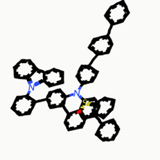 c1ccc(-c2ccc(-c3ccc(N(c4ccc(-c5ccccc5)cc4)c4ccc(-c5ccccc5-n5c6ccccc6c6ccccc65)cc4-c4cccc5c4sc4ccccc45)cc3)cc2)cc1